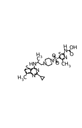 Cc1nc(NC(=O)O)sc1S(=O)(=O)N1CCN(CC(C)Nc2nc(C3CC3)nc3c(C)csc23)CC1